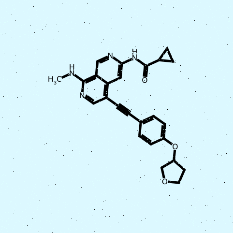 CNc1ncc(C#Cc2ccc(OC3CCOC3)cc2)c2cc(NC(=O)C3CC3)ncc12